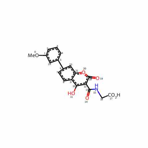 COc1cccc(-c2ccc3c(O)c(C(=O)NCC(=O)O)c(=O)oc3c2)c1